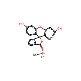 N#CS.O=C1OC2(c3ccc(O)cc3Oc3cc(O)ccc32)c2ccccc21.[H+]